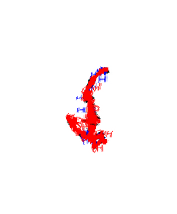 CCN1CCN(CC(=O)O)CCN(CC(=O)N[C@H](CCC(=O)NCCOC2OC3CC(O)(SOOO)C3C(SOOO)C2O)C(=O)NCCCOCCOCCOCCCNC(=O)CCCOc2cc(C)c(S(=O)(=O)N[C@@H](CNC(=O)c3ccc4c(cnn4CCCNc4ncc[nH]4)c3)C(=O)O)c(C)c2)CCN(C(=O)O)CC1